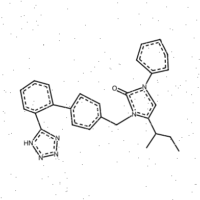 CCC(C)c1cn(-c2ccccc2)c(=O)n1Cc1ccc(-c2ccccc2-c2nnn[nH]2)cc1